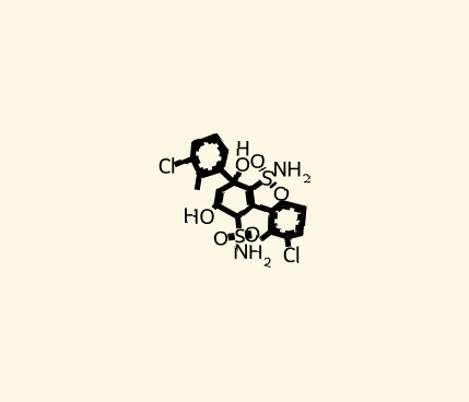 Cc1c(Cl)cccc1C1=C(S(N)(=O)=O)C(O)(c2cccc(Cl)c2C)C=C(O)C1S(N)(=O)=O